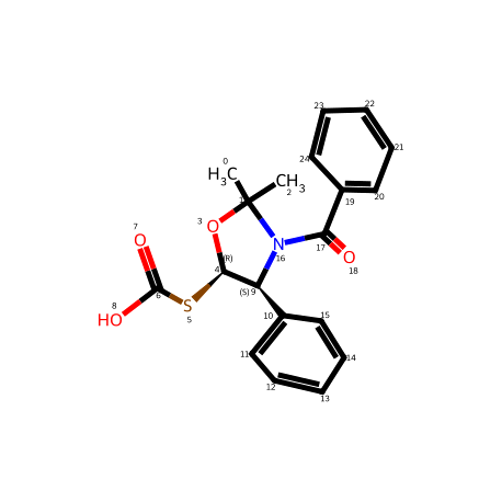 CC1(C)O[C@H](SC(=O)O)[C@H](c2ccccc2)N1C(=O)c1ccccc1